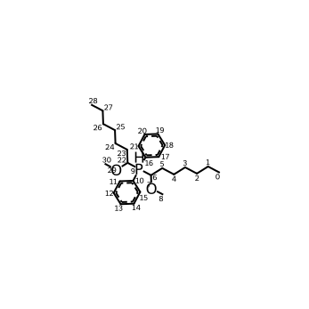 CCCCCCC(OC)[PH](c1ccccc1)(c1ccccc1)C(CCCCCC)OC